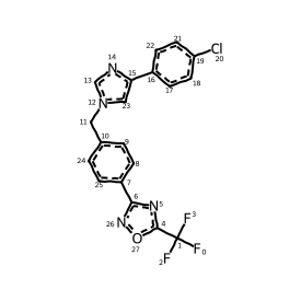 FC(F)(F)c1nc(-c2ccc(Cn3cnc(-c4ccc(Cl)cc4)c3)cc2)no1